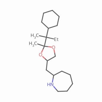 CCC(C)(C1CCCCC1)C1(C)OCC(CC2CCCCCN2)O1